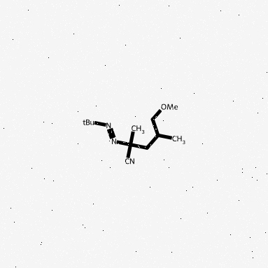 COCC(C)CC(C)(C#N)/N=N/C(C)(C)C